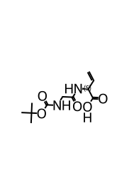 C=C[C@H](NC(=O)CNC(=O)OC(C)(C)C)C(=O)O